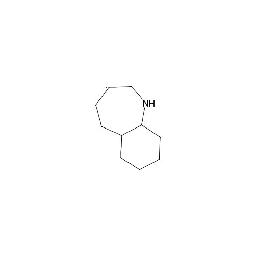 [CH]1CCC2CCCCC2NC1